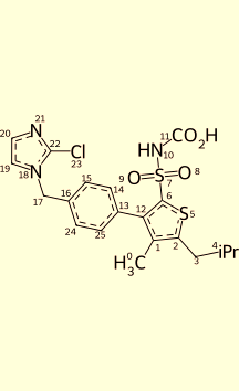 Cc1c(CC(C)C)sc(S(=O)(=O)NC(=O)O)c1-c1ccc(Cn2ccnc2Cl)cc1